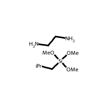 CO[Si](CC(C)C)(OC)OC.NCCN